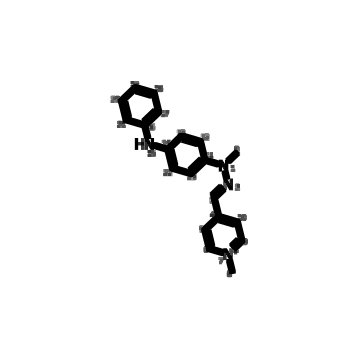 CN(/N=C/c1cc[n+](C)cc1)c1ccc(Nc2ccccc2)cc1